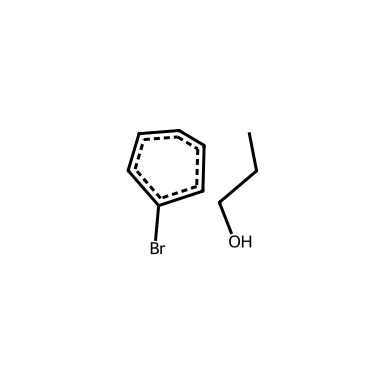 Brc1ccccc1.CCCO